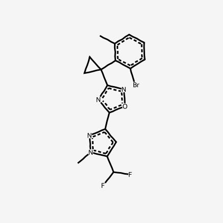 Cc1cccc(Br)c1C1(c2noc(-c3cc(C(F)F)n(C)n3)n2)CC1